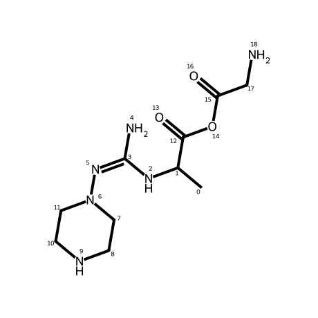 CC(NC(N)=NN1CCNCC1)C(=O)OC(=O)CN